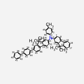 Cc1ccc(N(c2ccc3c(c2)C(C)(C)c2ccccc2-3)c2ccc3c(c2)C(C)(C)c2cc(-c4ccc(-c5ccccc5)cc4)ccc2-3)cc1